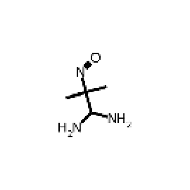 CC(C)(N=O)C(N)N